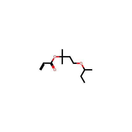 C=CC(=O)OC(C)(C)CCOC(C)CC